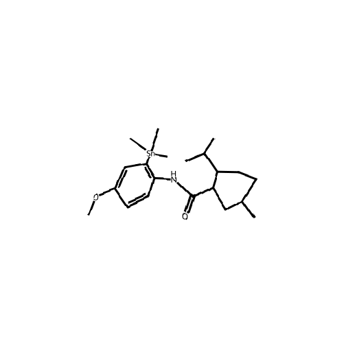 COc1ccc(NC(=O)C2CC(C)CCC2C(C)C)[c]([Sn]([CH3])([CH3])[CH3])c1